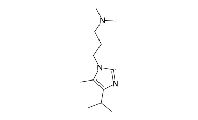 Cc1c(C(C)C)n[c]n1CCCN(C)C